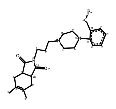 CC1=C(C)CC2C(=O)N(CCCN3CCN(c4ccccc4OC(C)C)CC3)C(=O)C2C1